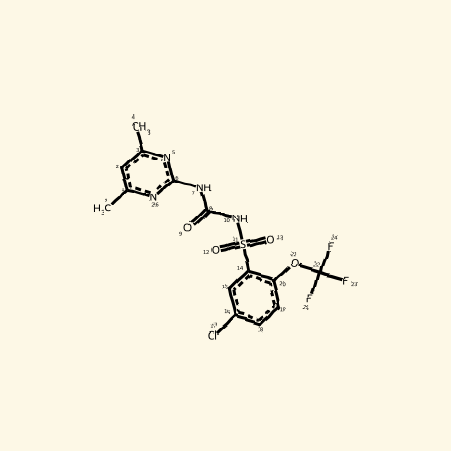 Cc1cc(C)nc(NC(=O)NS(=O)(=O)c2cc(Cl)ccc2OC(F)(F)F)n1